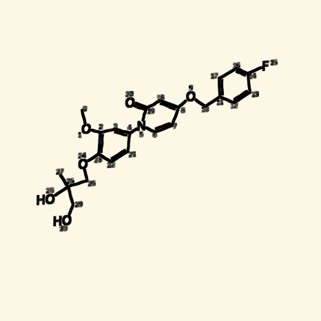 COc1cc(-n2ccc(OCc3ccc(F)cc3)cc2=O)ccc1OCC(C)(O)CO